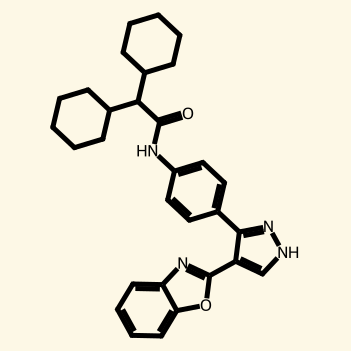 O=C(Nc1ccc(-c2n[nH]cc2-c2nc3ccccc3o2)cc1)C(C1CCCCC1)C1CCCCC1